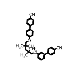 CC(C)(COc1ccc(-c2ccc(C#N)cc2)cc1)CC(C)(C)COc1cccc(-c2ccc(C#N)cc2)c1